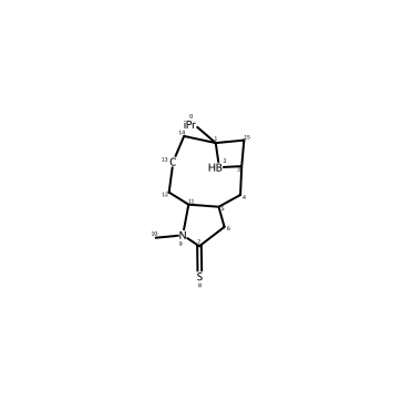 CC(C)C12BC(CC3CC(=S)N(C)C3CCC1)C2